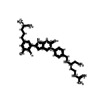 CC(=N)NCC[C@H](CN)NCc1ccc(-n2cc3cc(-c4cc(CCC[C@H](C)N)cc(Cl)c4F)[nH]c3nc2=O)cc1